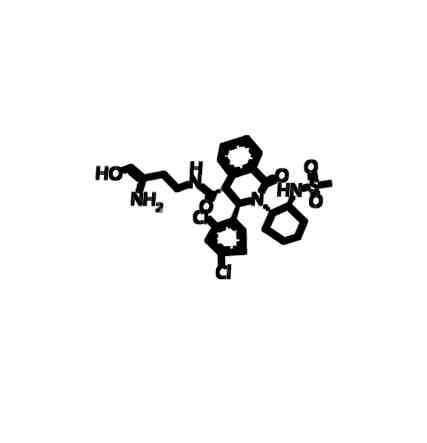 CS(=O)(=O)N[C@H]1CCCC[C@@H]1N1C(=O)c2ccccc2[C@@H](C(=O)NCCC(N)=CO)[C@@H]1c1ccc(Cl)cc1Cl